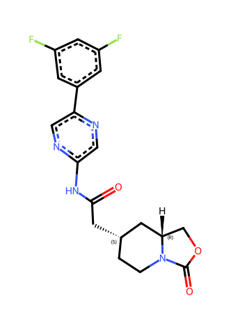 O=C(C[C@H]1CCN2C(=O)OC[C@H]2C1)Nc1cnc(-c2cc(F)cc(F)c2)cn1